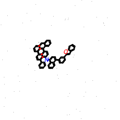 c1ccc(-c2ccc(-c3ccccc3N(c3ccc(-c4cccc5ccccc45)cc3)c3ccc(-c4cccc(-c5cc6ccccc6o5)c4)c4ccccc34)cc2)cc1